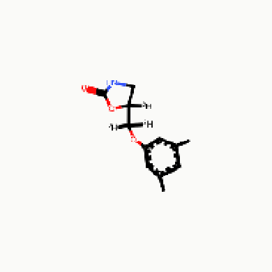 [2H]C([2H])(Oc1cc(C)cc(C)c1)C1([2H])CNC(=O)O1